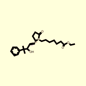 CCOC(=O)CCCCCCN1C(=O)CC[C@@H]1/C=C/C(O)C(C)(C)c1ccccc1